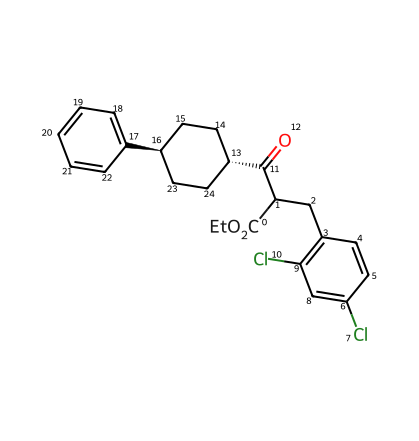 CCOC(=O)C(Cc1ccc(Cl)cc1Cl)C(=O)[C@H]1CC[C@H](c2ccccc2)CC1